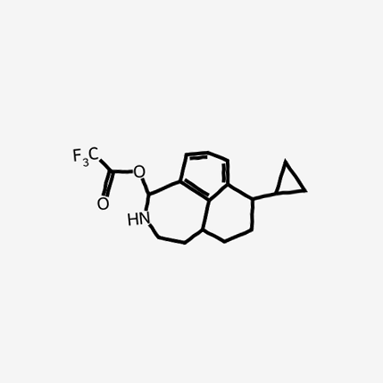 O=C(OC1NCCC2CCC(C3CC3)c3cccc1c32)C(F)(F)F